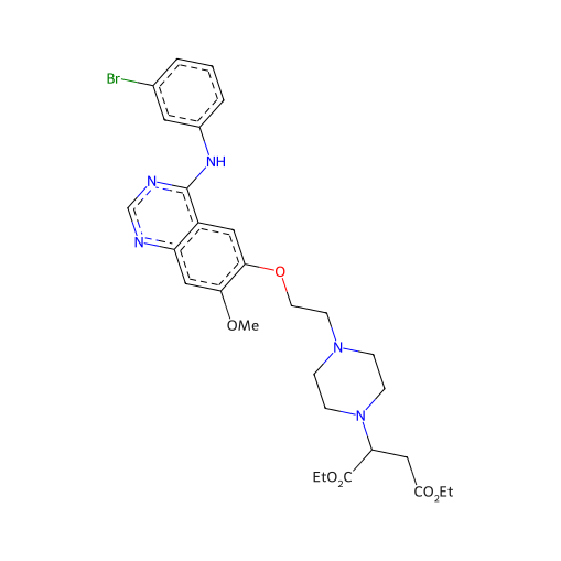 CCOC(=O)CC(C(=O)OCC)N1CCN(CCOc2cc3c(Nc4cccc(Br)c4)ncnc3cc2OC)CC1